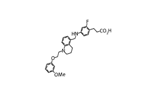 COc1cccc(OCCN2CCCc3c(CNc4ccc(CCC(=O)O)c(F)c4)cccc32)c1